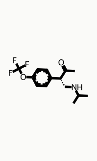 CC(=O)[C@H](CNC(C)C)c1ccc(OC(F)(F)F)cc1